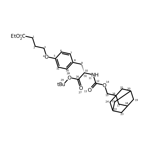 CCOC(=O)CCCOc1ccc(C[C@H](NC(=O)OCC23CC4CC(CC(C4)C2)C3)C(=O)OC(C)(C)C)cc1